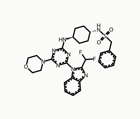 O=S(=O)(Cc1ccccc1)N[C@H]1CC[C@H](Nc2nc(N3CCOCC3)nc(-n3c(C(F)F)nc4ccccc43)n2)CC1